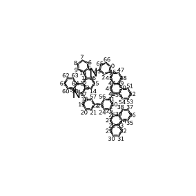 c1ccc(-n2c3ccccc3c3c4c(ccc32)c(-c2cccc(-c3cc(-c5cc6ccccc6c6ccccc56)cc(-c5cc6ccccc6c6ccccc56)c3)c2)nc2ccccc24)cc1